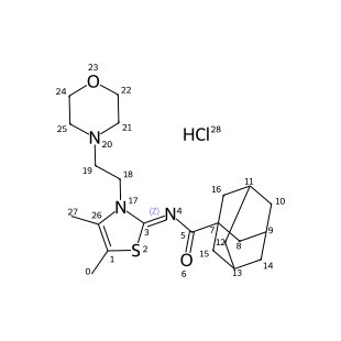 Cc1s/c(=N\C(=O)C23CC4CC(CC(C4)C2)C3)n(CCN2CCOCC2)c1C.Cl